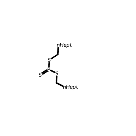 CCCCCCCCS[P](=S)SCCCCCCCC